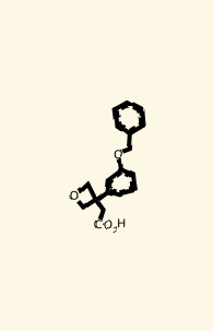 O=C(O)CC1(c2cccc(OCc3ccccc3)c2)COC1